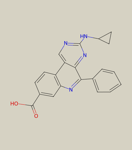 O=C(O)c1ccc2c(c1)nc(-c1ccccc1)c1nc(NC3CC3)ncc12